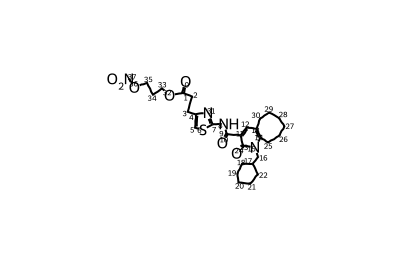 O=C(CCc1csc(NC(=O)c2cc3c(n(CC4CCCCC4)c2=O)CCCCCC3)n1)OCCCO[N+](=O)[O-]